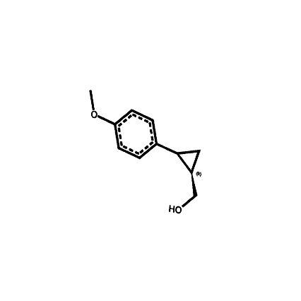 COc1ccc(C2C[C@H]2CO)cc1